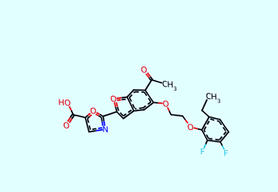 CCc1ccc(F)c(F)c1OCCOc1cc2cc(-c3ncc(C(=O)O)o3)oc2cc1C(C)=O